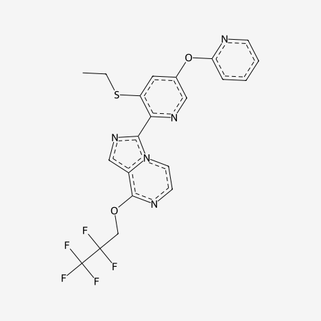 CCSc1cc(Oc2ccccn2)cnc1-c1ncc2c(OCC(F)(F)C(F)(F)F)nccn12